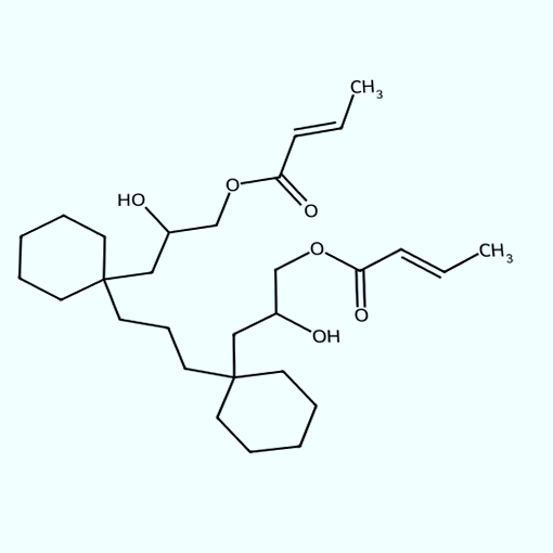 CC=CC(=O)OCC(O)CC1(CCCC2(CC(O)COC(=O)C=CC)CCCCC2)CCCCC1